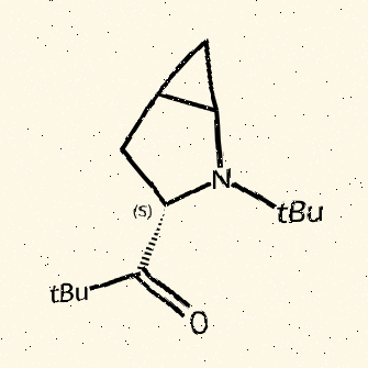 CC(C)(C)C(=O)[C@@H]1CC2CC2N1C(C)(C)C